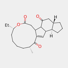 CC[C@H]1CCCC[C@@H](C)C(=O)C2=CC3C(C(=O)C[C@@H]4CCC[C@@H]34)C2CC(=O)O1